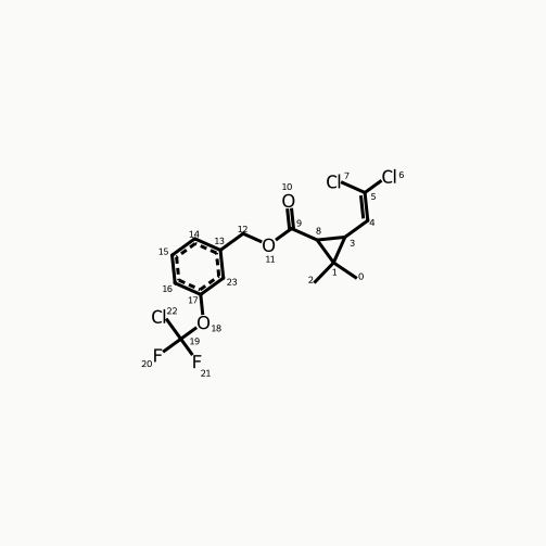 CC1(C)C(C=C(Cl)Cl)C1C(=O)OCc1cccc(OC(F)(F)Cl)c1